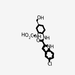 O=C(O)N[C@@H]1C[C@@H](CO)CC[C@H]1NC(=O)c1cc2cc(Cl)ccc2[nH]1